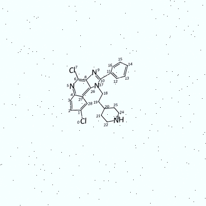 Clc1ccc2nc(Cl)c3nc(-c4ccccc4)n(CCC4CCNCC4)c3c2c1